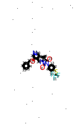 O=C1N(c2ccc(SC(F)(F)F)cc2)C(=O)C2(CC2)N1Cc1ccncc1OCc1ccccc1